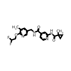 Cc1cc(CNC(=O)c2ccnc(NC(=O)C3(C)CC3)c2)cnc1OCC(F)F